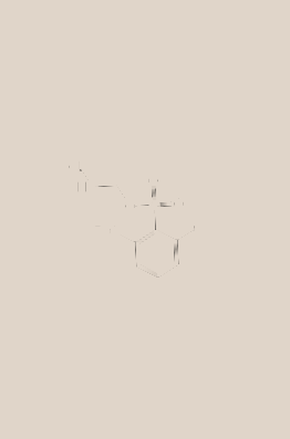 Cc1cccc(C(F)(F)F)c1S(=O)(=O)OCPCl